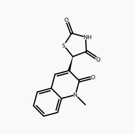 Cn1c(=O)c([C@H]2SC(=O)NC2=O)cc2ccccc21